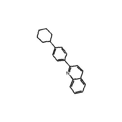 c1ccc2nc(-c3ccc(C4CCCCC4)cc3)ccc2c1